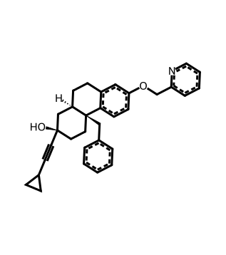 O[C@]1(C#CC2CC2)CC[C@@]2(Cc3ccccc3)c3ccc(OCc4ccccn4)cc3CC[C@@H]2C1